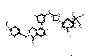 COc1ccc(CN2CCc3c(ccnc3-c3cc(OC4CN(c5cc(F)cc(C(F)(F)F)c5)C4)ccn3)C2=O)cc1